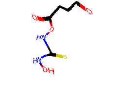 O=CCCC(=O)ONC(=S)NO